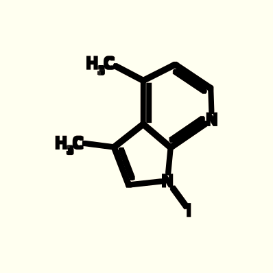 Cc1ccnc2c1c(C)cn2I